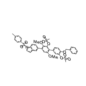 COc1cc(-c2ccc3c(ccn3S(=O)(=O)c3ccc(C)cc3)c2)c(OC)c(OS(C)(=O)=O)c1-c1ccc(OCc2ccccc2)c(OS(C)(=O)=O)c1